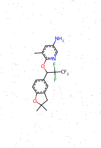 Cc1cc(N)cnc1OC(c1ccc2c(c1)CC(C)(C)O2)C(F)(F)C(F)(F)F